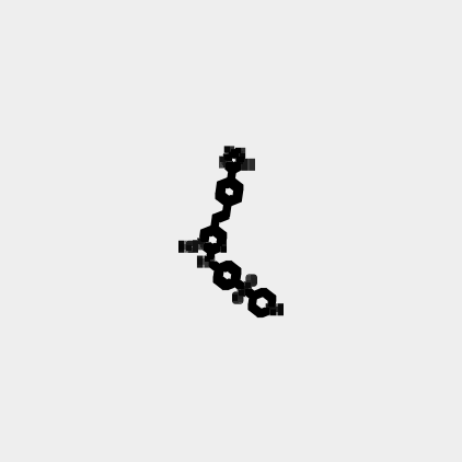 Cl.O=S(=O)(c1ccc(Nc2ncc(C=Cc3ccc(-c4nnn[nH]4)cc3)cn2)cc1)C1CCNCC1